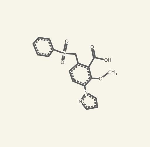 COc1c(-n2cccn2)ccc(CS(=O)(=O)c2ccccc2)c1C(=O)O